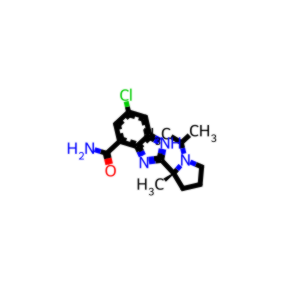 CC(C)N1CCC[C@]1(C)c1nc2c(C(N)=O)cc(Cl)cc2[nH]1